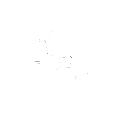 CC(=O)C1C(=O)C(C)C2C(C(C)C)C(=O)N12